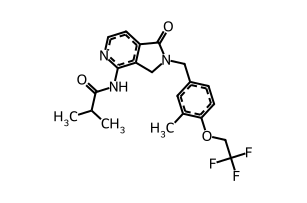 Cc1cc(CN2Cc3c(ccnc3NC(=O)C(C)C)C2=O)ccc1OCC(F)(F)F